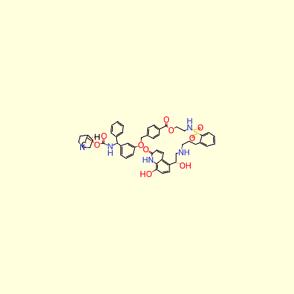 O=C(N[C@@H](c1ccccc1)c1cccc(OCc2ccc(C(=O)OCCNS(=O)(=O)c3ccccc3CCCNC[C@H](O)c3ccc(O)c4[nH]c(=O)ccc34)cc2)c1)O[C@H]1CN2CCC1CC2